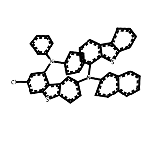 Clc1cc(N(c2ccccc2)c2ccccc2)c2c(c1)sc1ccc(N(c3ccc4ccccc4c3)c3cccc4c3sc3ccccc34)cc12